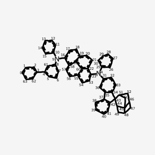 c1ccc(-c2cccc(N(c3ccccc3)c3ccc4ccc5c(N(c6ccccc6)c6ccc7c(c6)-c6ccccc6C76C7CC8CC(C7)CC6C8)ccc6ccc3c4c65)c2)cc1